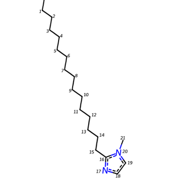 CCCCCCCCCCCCCCCCc1nccn1C